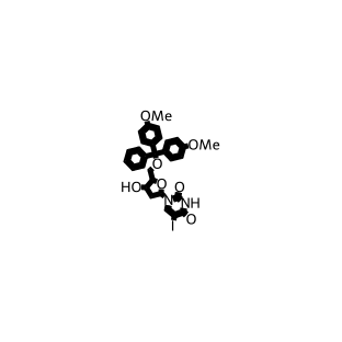 COc1ccc(C(OCC2OC(n3cc(I)c(=O)[nH]c3=O)CC2O)(c2ccccc2)c2ccc(OC)cc2)cc1